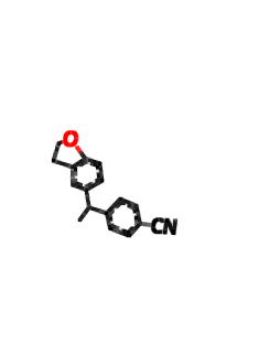 CC(c1ccc(C#N)cc1)c1ccc2c(c1)CCO2